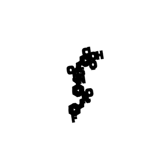 COc1cc(/C=c2\sc3nc(-c4cccc(C(=O)N(C)CCc5cccc(F)c5)c4)cn3c2=O)cc(Cl)c1O